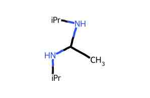 CC(C)NC(C)NC(C)C